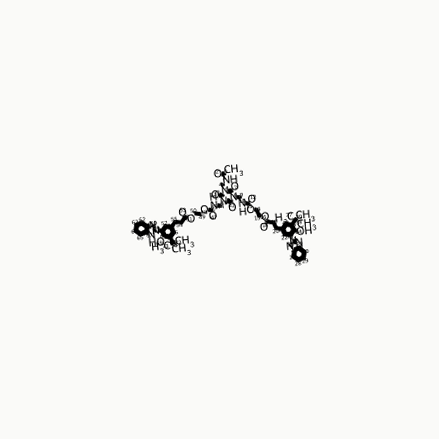 CC(=O)NCn1c(=O)n(CNC(=O)OCCOC(=O)CCc2cc(-n3nc4ccccc4n3)c(O)c(C(C)(C)C)c2)c(=O)n(CNC(=O)OCCOC(=O)CCc2cc(-n3nc4ccccc4n3)c(O)c(C(C)(C)C)c2)c1=O